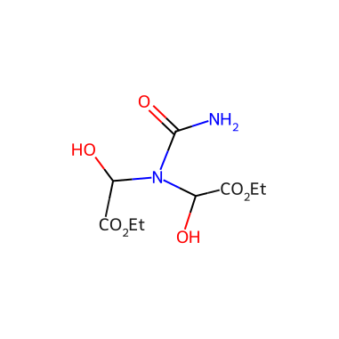 CCOC(=O)C(O)N(C(N)=O)C(O)C(=O)OCC